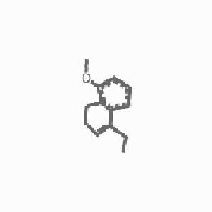 CCC1=CCCc2c(OC)cccc21